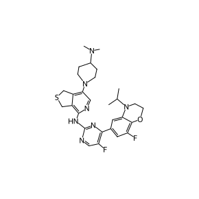 CC(C)N1CCOc2c(F)cc(-c3nc(Nc4ncc(N5CCC(N(C)C)CC5)c5c4CSC5)ncc3F)cc21